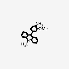 COc1cc(-c2c3ccccc3[n+](C)c3ccccc23)ccc1N